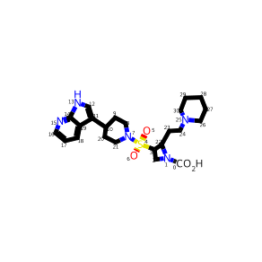 O=C(O)N1CC(S(=O)(=O)N2CCC(c3c[nH]c4ncccc34)CC2)C1CCN1CCCCC1